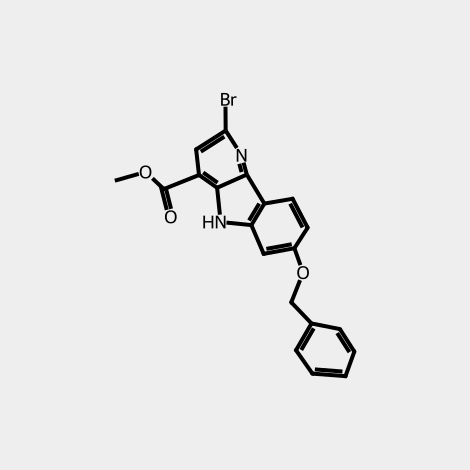 COC(=O)c1cc(Br)nc2c1[nH]c1cc(OCc3ccccc3)ccc12